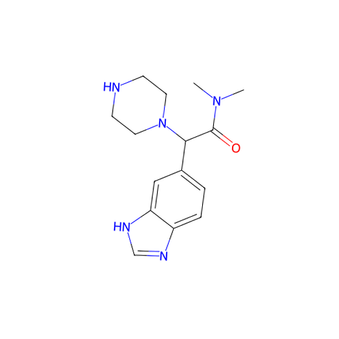 CN(C)C(=O)C(c1ccc2nc[nH]c2c1)N1CCNCC1